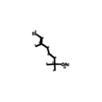 CC/C=C(\C)CCCC(C)(C)OC(C)=O